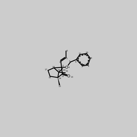 C/C=C/C1(OCc2ccccc2)C(=O)[C@]2(C)CCC1C2(C)C